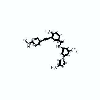 CCNc1ncc(C#Cc2cc(C(=O)Nc3cc(-n4cnc(C)c4)cc(C(F)(F)F)c3)ccc2C)cn1